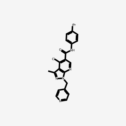 Cc1nn(Cc2ccncc2)c2ncc(C(=O)Nc3ccc(C(C)C)cc3)c(Cl)c12